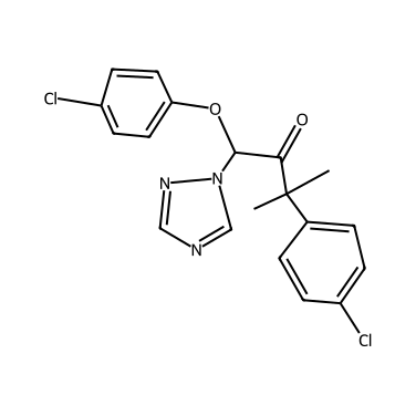 CC(C)(C(=O)C(Oc1ccc(Cl)cc1)n1cncn1)c1ccc(Cl)cc1